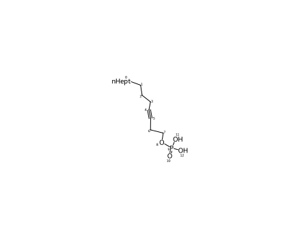 CCCCCCCCCCC#CCCOP(=O)(O)O